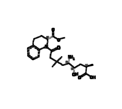 COC(=O)[C@H]1CCc2ccccc2N1C(=O)CC(C)(C)C[C@H](N)[C@@H](O)C[C@@H](C)C(=O)O